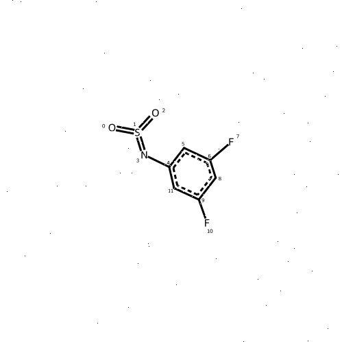 O=S(=O)=Nc1cc(F)cc(F)c1